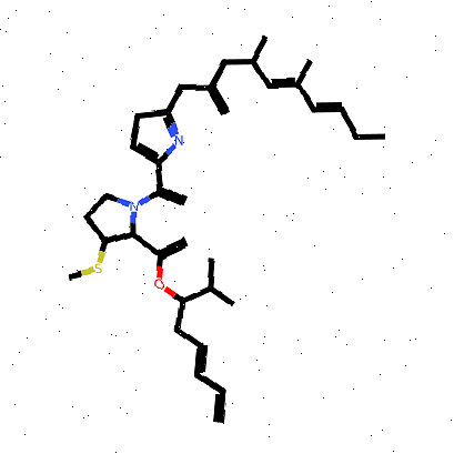 C=C/C=C/CC(OC(=C)C1C(SC)CCN1C(=C)C1=CCC(CC(=C)CC(C)/C=C(C)/C=C/CC)=N1)C(C)C